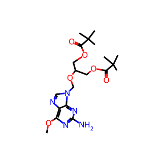 COc1nc(N)nc2c1ncn2COC(COC(=O)C(C)(C)C)COC(=O)C(C)(C)C